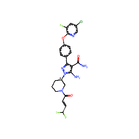 NC(=O)c1c(-c2ccc(Oc3ncc(Cl)cc3F)cc2)nn([C@@H]2CCCN(C(=O)C=CC(F)F)C2)c1N